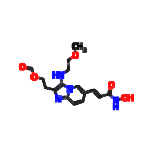 COCCNc1c(CCOC=O)nc2ccc(/C=C/C(=O)NO)cn12